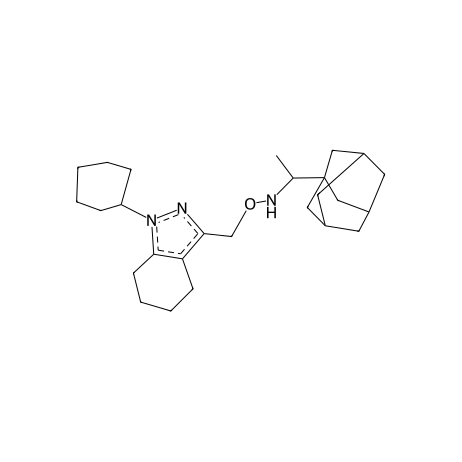 CC(NOCc1nn(C2CCCCC2)c2c1CCCC2)C12CC3CC(CC(C3)C1)C2